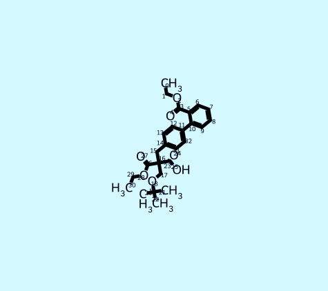 CCOC(=O)c1ccccc1-c1ccc(CC(COC(C)(C)C)(C(=O)O)C(=O)OCC)cc1